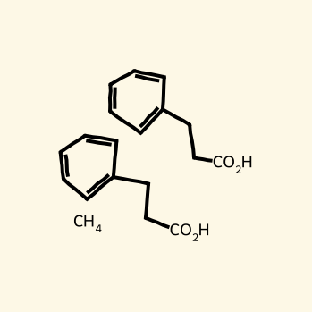 C.O=C(O)CCc1ccccc1.O=C(O)CCc1ccccc1